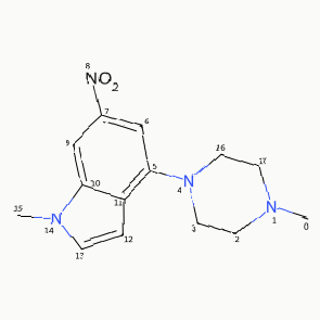 CN1CCN(c2cc([N+](=O)[O-])cc3c2ccn3C)CC1